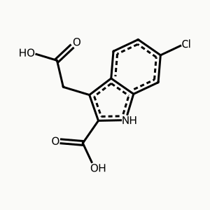 O=C(O)Cc1c(C(=O)O)[nH]c2cc(Cl)ccc12